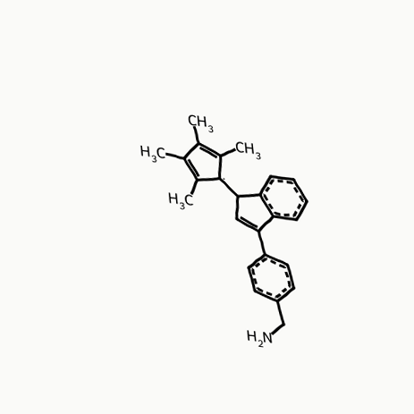 CC1=C(C)C(C)=C(C)[C]1C1C=C(c2ccc(CN)cc2)c2ccccc21